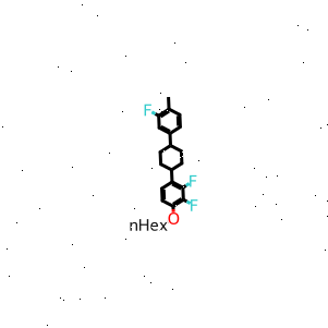 CCCCCCOc1ccc(C2CCC(c3ccc(C)c(F)c3)CC2)c(F)c1F